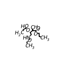 C=C(CCNOCC)C(=O)OCCC.C=CC(=O)O